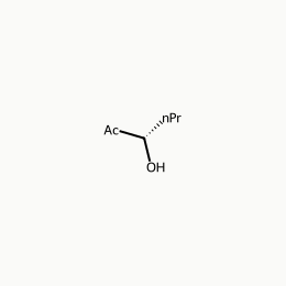 CCC[C@H](O)C(C)=O